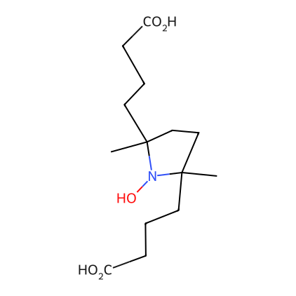 CC1(CCCC(=O)O)CCC(C)(CCCC(=O)O)N1O